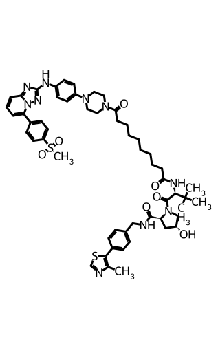 Cc1ncsc1-c1ccc(CNC(=O)[C@@H]2C[C@@H](O)CN2C(=O)[C@@H](NC(=O)CCCCCCCCC(=O)N2CCN(c3ccc(Nc4nc5cccc(-c6ccc(S(C)(=O)=O)cc6)n5n4)cc3)CC2)C(C)(C)C)cc1